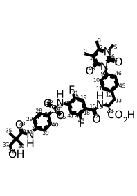 Cc1c(C)n(C)c(=O)n(-c2ccc(C[C@H](NC(=O)c3cc(F)c(NS(=O)(=O)c4ccc(NC(=O)C(C)(C)CO)cc4)cc3F)C(=O)O)cc2)c1=O